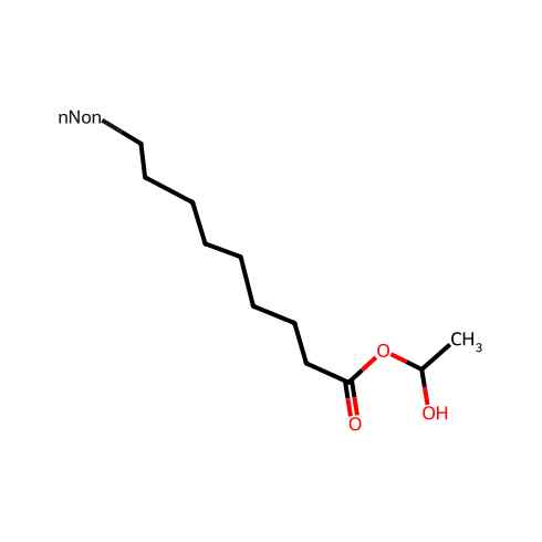 CCCCCCCCCCCCCCCCCC(=O)OC(C)O